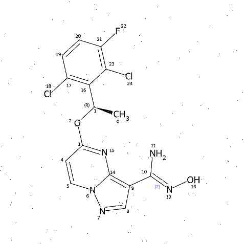 C[C@@H](Oc1ccn2ncc(/C(N)=N/O)c2n1)c1c(Cl)ccc(F)c1Cl